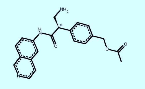 CC(=O)OCc1ccc([C@H](CN)C(=O)Nc2ccc3cnccc3c2)cc1